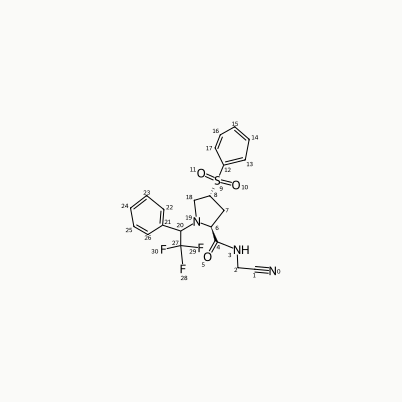 N#CCNC(=O)[C@@H]1C[C@@H](S(=O)(=O)c2ccccc2)CN1C(c1ccccc1)C(F)(F)F